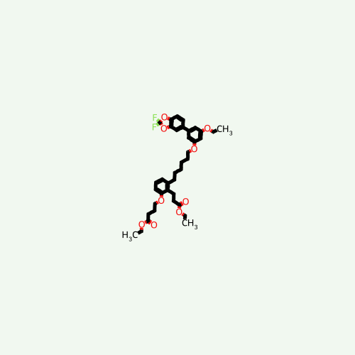 CCOC(=O)CCCOc1cccc(CCCCCCOc2cc(OCC)cc(-c3ccc4c(c3)OC(F)(F)O4)c2)c1CCC(=O)OCC